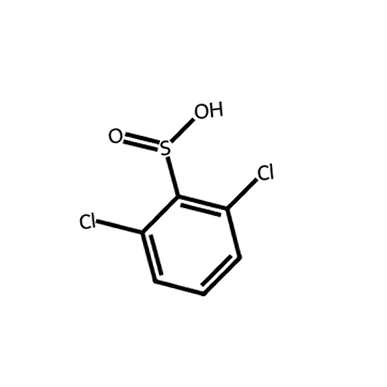 O=S(O)c1c(Cl)cccc1Cl